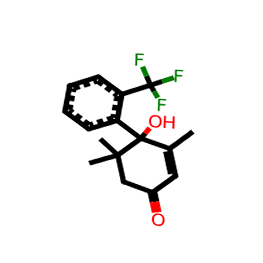 CC1=CC(=O)CC(C)(C)C1(O)c1ccccc1C(F)(F)F